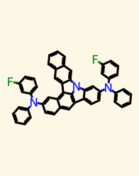 Fc1cccc(N(c2ccccc2)c2ccc3cc4c5ccc(N(c6ccccc6)c6cccc(F)c6)cc5n5c6cc7ccccc7cc6c(c3c2)c45)c1